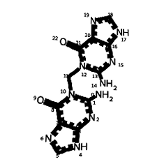 Nc1nc2[nH]cnc2c(=O)n1Cn1c(N)nc2[nH]cnc2c1=O